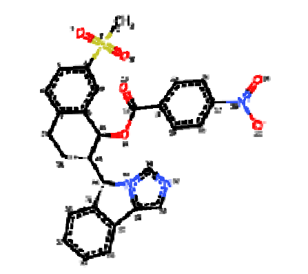 CS(=O)(=O)c1ccc2c(c1)[C@@H](OC(=O)c1ccc([N+](=O)[O-])cc1)[C@H]([C@H]1c3ccccc3-c3cncn31)CC2